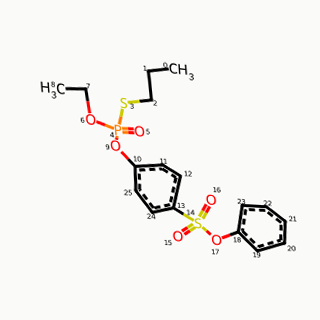 CCCSP(=O)(OCC)Oc1ccc(S(=O)(=O)Oc2ccccc2)cc1